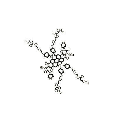 C=CC(=O)OCCOCCc1ccc(Oc2cc3c4c(cc(Oc5ccc(CCOCCOC(=O)C=C)cc5)c5c6c(Oc7ccc(CCOCCOC(=O)C=C)cc7)cc7c8c(cc(Oc9ccc(CCOCCOC(=O)C=C)cc9)c(c2c45)c86)C(=O)N(C(C(=O)Oc2ccncc2)C(C)CC)C7=O)C(=O)N(C(C(=O)Oc2ccncc2)C(C)CC)C3=O)cc1